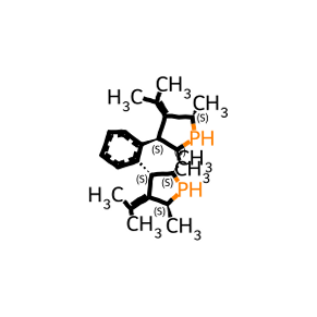 CC(C)=C1[C@H](C)P[C@@H](C)[C@H]1c1ccccc1[C@H]1C(=C(C)C)[C@H](C)P[C@H]1C